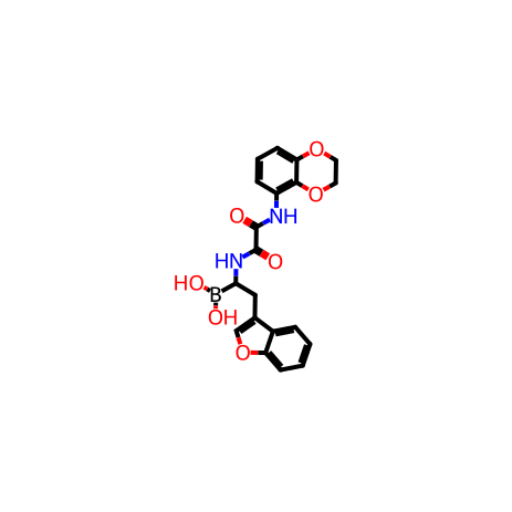 O=C(Nc1cccc2c1OCCO2)C(=O)NC(Cc1coc2ccccc12)B(O)O